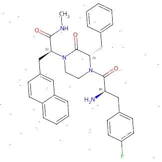 CNC(=O)[C@H](Cc1ccc2ccccc2c1)N1CCN(C(=O)[C@H](N)Cc2ccc(F)cc2)[C@@H](Cc2ccccc2)C1=O